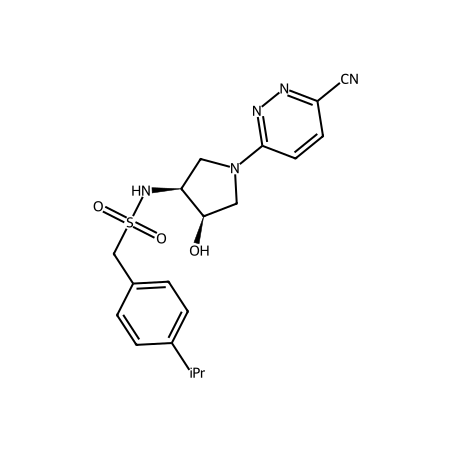 CC(C)c1ccc(CS(=O)(=O)N[C@H]2CN(c3ccc(C#N)nn3)C[C@H]2O)cc1